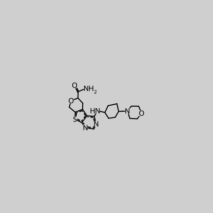 NC(=O)C1Cc2c(sc3ncnc(NC4CCC(N5CCOCC5)CC4)c23)CO1